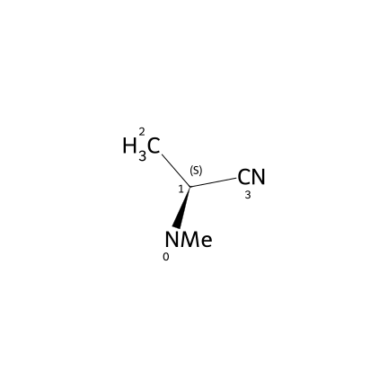 CN[C@@H](C)C#N